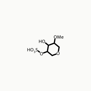 COC1COCC(OS(=O)(=O)O)C1O